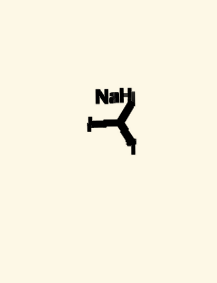 IC(I)I.[NaH]